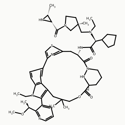 CCN(C[C@]1(C)CCN(C(=O)[C@@H]2N[C@@H]2C)C1)[C@H](C(=O)N[C@H]1Cc2nc(cs2)-c2ccc3c(c2)c(c(-c2cccnc2[C@H](C)OC)n3CC)CC(C)(C)COC(=O)[C@@H]2CCCN(N2)C1=O)C1CCCC1